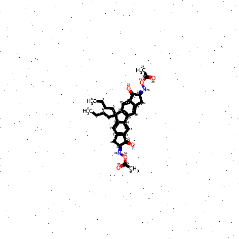 CCCCC1(CCCC)c2cc3c(cc2-c2cc4c(cc21)C(=O)/C(=N\OC(C)=O)C4)C(=O)/C(=N\OC(C)=O)C3